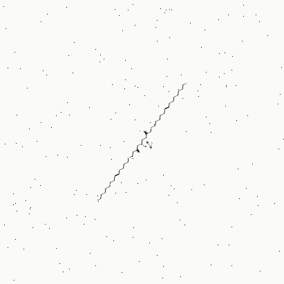 CCCCCCCC/C=C/CCCCCCCC(=O)CCC(CC(=O)CCCCCCC/C=C/CCCCCCCC)C[N+](C)(C)C